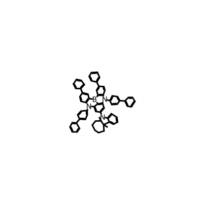 CC12CCCCCC1(C)N(c1cc3c4c(c1)N(c1ccc(-c5ccccc5)cc1)c1ccc(-c5ccccc5)cc1B4c1cc(-c4ccccc4)ccc1N3c1ccc(-c3ccccc3)cc1)c1ccccc12